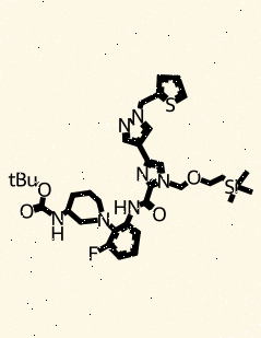 CC(C)(C)OC(=O)NC1CCCN(c2c(F)cccc2NC(=O)c2nc(-c3cnn(Cc4cccs4)c3)cn2COCC[Si](C)(C)C)C1